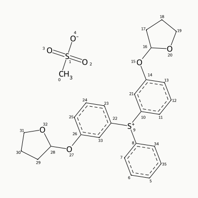 CS(=O)(=O)[O-].c1ccc([S+](c2cccc(OC3CCCO3)c2)c2cccc(OC3CCCO3)c2)cc1